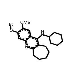 CCOc1cc2nc3c(c(NC4CCCCC4)c2cc1OC)CCCCC3